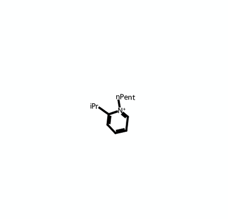 CCCCC[n+]1ccccc1C(C)C